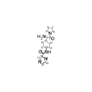 N[C@H](C(=O)N1CCCC1)[C@H]1CC[C@H](NC(=O)c2cnccn2)CC1